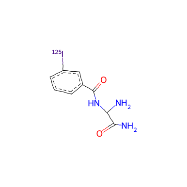 NC(=O)C(N)NC(=O)c1cccc([125I])c1